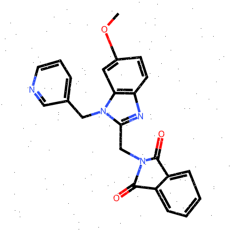 COc1ccc2nc(CN3C(=O)c4ccccc4C3=O)n(Cc3cccnc3)c2c1